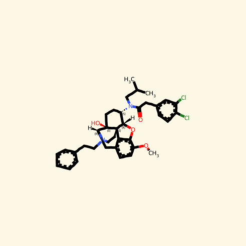 COc1ccc2c3c1O[C@H]1[C@@H](N(CC(C)C)C(=O)Cc4ccc(Cl)c(Cl)c4)CC[C@@]4(O)[C@@H](C2)N(CCc2ccccc2)CC[C@]314